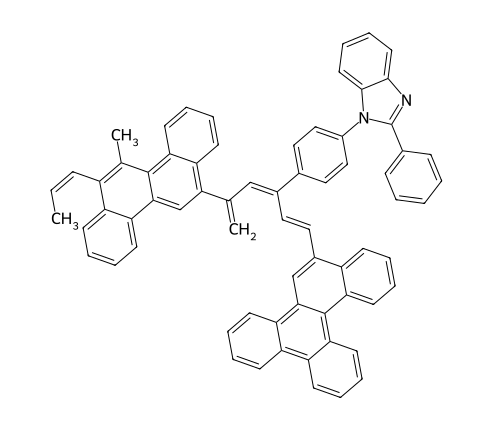 C=C(/C=C(\C=C\c1cc2c3ccccc3c3ccccc3c2c2ccccc12)c1ccc(-n2c(-c3ccccc3)nc3ccccc32)cc1)c1cc2c3ccccc3c(/C=C\C)c(C)c2c2ccccc12